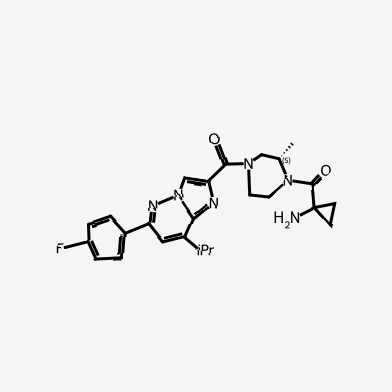 CC(C)c1cc(-c2ccc(F)cc2)nn2cc(C(=O)N3CCN(C(=O)C4(N)CC4)[C@@H](C)C3)nc12